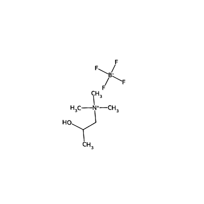 CC(O)C[N+](C)(C)C.F[B-](F)(F)F